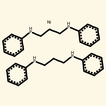 [Ni].c1ccc(PCCCPc2ccccc2)cc1.c1ccc(PCCCPc2ccccc2)cc1